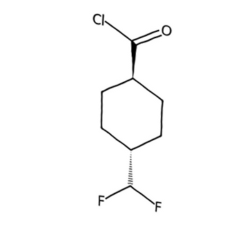 O=C(Cl)[C@H]1CC[C@H](C(F)F)CC1